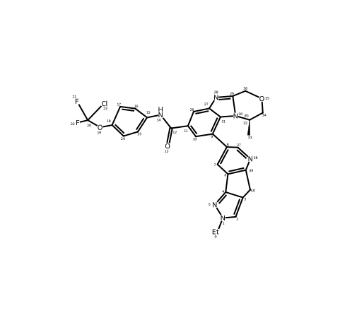 CCn1cc2c(n1)-c1cc(-c3cc(C(=O)Nc4ccc(OC(F)(F)Cl)cc4)cc4nc5n(c34)[C@H](C)COC5)cnc1C2